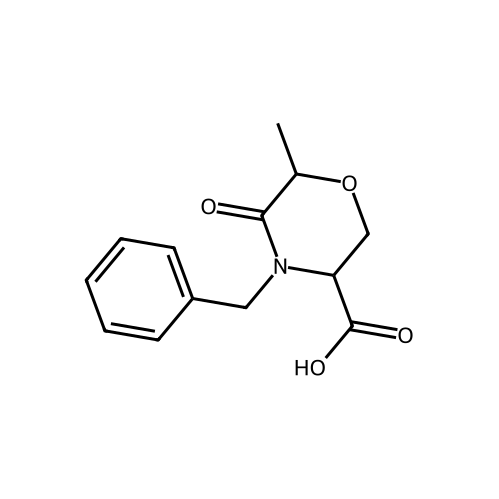 CC1OCC(C(=O)O)N(Cc2ccccc2)C1=O